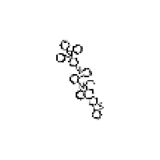 C=Cc1c(/C=C\C)n(-c2cccc3c2c2ccccc2n3-c2ccc([Si](c3ccccc3)(c3ccccc3)c3ccccc3)cc2)c2cccc(-c3ccc4sc5ccccc5c4c3)c12